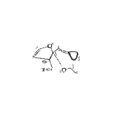 CCOC1(C=O)OC=CC1C